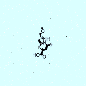 COCN1C=C2N=C(C(=O)O)C=C([S])N2N1